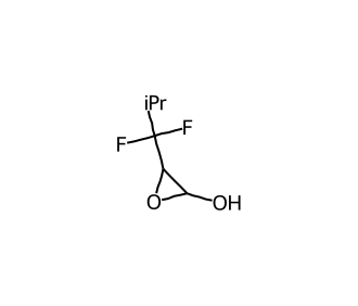 CC(C)C(F)(F)C1OC1O